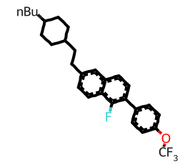 CCCCC1CCC(CCc2ccc3c(F)c(-c4ccc(OC(F)(F)F)cc4)ccc3c2)CC1